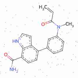 C=CC(=O)N(C)c1cccc(-c2ccc(C(N)=O)c3[nH]ccc23)c1